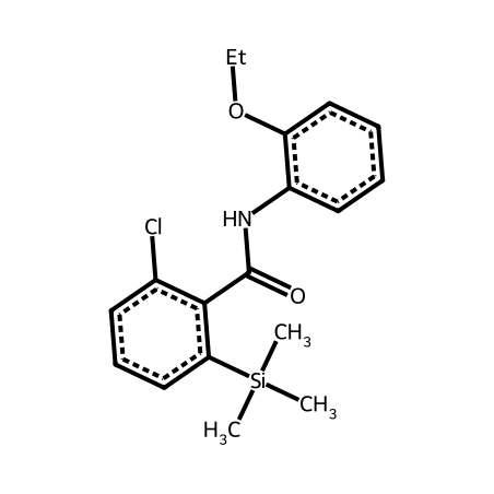 CCOc1ccccc1NC(=O)c1c(Cl)cccc1[Si](C)(C)C